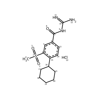 CS(=O)(=O)c1cc(C(=O)NC(=N)N)ccc1C1CCCCC1.Cl